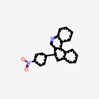 O=[N+]([O-])c1ccc(-c2cc3ccccc3c3c2cnc2ccccc23)cc1